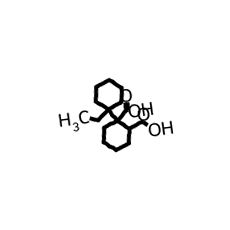 CCC1(C2(C(=O)O)CCCCC2C(=O)O)CCCCC1